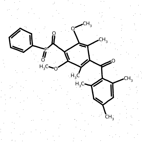 COc1c(C)c(C(=O)c2c(C)cc(C)cc2C)c(C)c(OC)c1C(=O)[P](=O)c1ccccc1